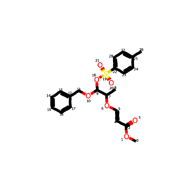 COC(=O)C=COC(C)C(OCc1ccccc1)OS(=O)(=O)c1ccc(C)cc1